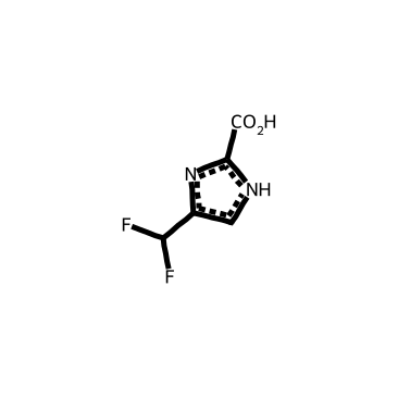 O=C(O)c1nc(C(F)F)c[nH]1